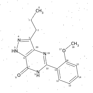 CCCc1n[nH]c2c(=O)[nH]c(-c3ccccc3OC)nc12